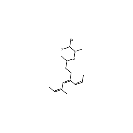 C\C=C/C(=C\C(C)=C/C)CCC(C)ON(C)C(CC)CC